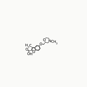 Cc1c(C(=O)O)oc2ccc(OC[C@@H]3CN(C)CCO3)cc12